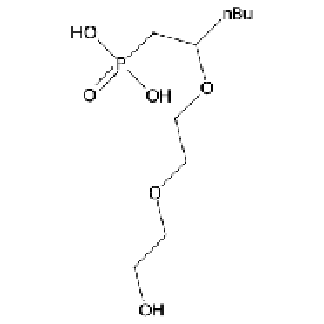 CCCCC(CP(=O)(O)O)OCCOCCO